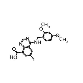 COc1ccc(CNc2ncnc3c(C(=O)O)cc(I)cc23)c(OC)c1